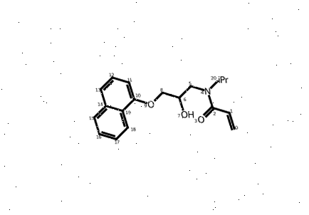 C=CC(=O)N(CC(O)COc1cccc2ccccc12)C(C)C